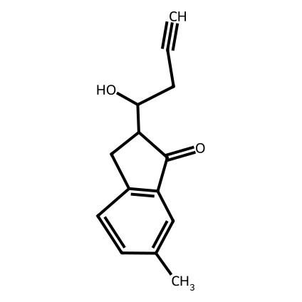 C#CCC(O)C1Cc2ccc(C)cc2C1=O